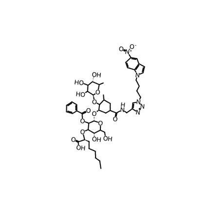 CCCCCC[C@H](OC1C(OC(=O)c2ccccc2)[C@H](O[C@@H]2CC(C(=O)NCc3cn(CCCCn4ccc5cc([N+](=O)[O-])ccc54)nn3)CC(C)C2O[C@@H]2OC(C)[C@@H](O)C(O)C2O)OC(CO)[C@@H]1O)C(=O)O